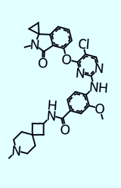 COc1cc(C(=O)NC2CC3(CCN(C)CC3)C2)ccc1Nc1ncc(Cl)c(Oc2cccc3c2C(=O)N(C)C32CC2)n1